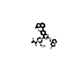 C=C(F)C(=O)N1CCN(c2nc(OC[C@@]34CCCN3C[C@H](F)C4)nc3cc(-c4cccc5c4C4CC4C5)c(F)cc23)C[C@@H]1CC#N